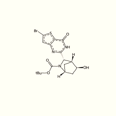 CC(C)(C)OC(=O)N1[C@@H]2C[C@H]([C@H]1c1nc3cc(Br)sc3c(=O)[nH]1)[C@@H](O)C2